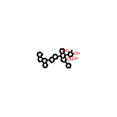 Cc1c(O)c(O)c(O)c(-c2c3ccccc3c(-c3ccc4cc(-c5cc6c7ccccc7ccc6c6ccccc56)ccc4c3)c3ccc(-c4ccccc4)cc23)c1O